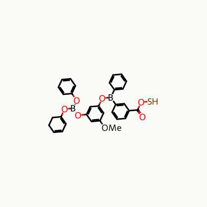 COc1cc(OB(OC2=CC=CCC2)Oc2ccccc2)cc(OB(c2ccccc2)c2cccc(C(=O)OS)c2)c1